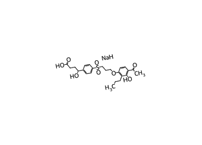 CCCc1c(OCCCS(=O)(=O)c2ccc(C(O)CCC(=O)O)cc2)ccc(C(C)=O)c1O.[NaH]